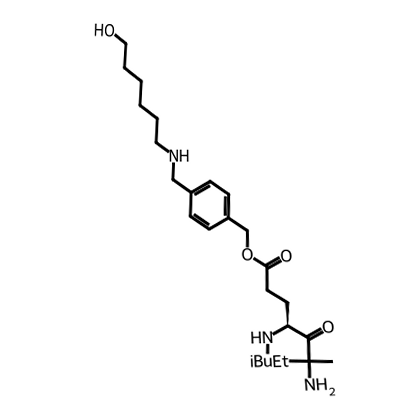 CCC(C)N[C@@H](CCC(=O)OCc1ccc(CNCCCCCCO)cc1)C(=O)C(C)(N)CC